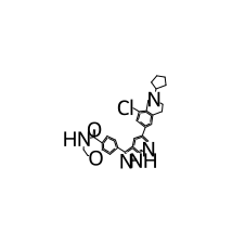 O=C1NCCOc2cc(-c3n[nH]c4ncc(-c5cc(Cl)c6c(c5)CCN(C5CCCC5)C6)cc34)ccc21